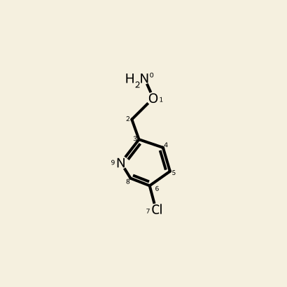 NOCc1ccc(Cl)cn1